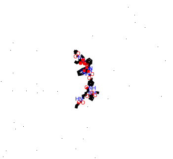 C=CCOC(=O)NCCCC[C@H](NC(=O)C1(C(=O)OCC)CCC1)C(=O)Nc1ccc(COC(=O)Nc2nnc(-c3ccccc3OC(=O)OCC=C)cc2N2CC3CCC(C2)N3c2ccnc(OCCN3CCN(C(=O)OC(C)(C)C)C[C@H]3C)c2)cc1